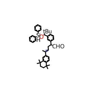 C/C(=C\CC(C=O)c1cccc(C(O[SiH](c2ccccc2)c2ccccc2)C(C)(C)C)c1)c1ccc2c(c1)C(C)(C)CCC2(C)C